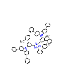 N#Cc1ccc(-c2ccccc2-c2nc(-c3cc(-c4ccccc4C#N)cc(-n4c5ccc(-c6ccccc6)cc5c5cc(-c6ccccc6)ccc54)c3)nc(-c3cc(-c4ccccc4C#N)cc(-n4c5ccc(-c6ccccc6)cc5c5cc(-c6ccccc6)ccc54)c3)n2)cc1